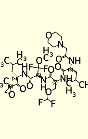 COC(F)(F)[C@@H](NC(=O)[C@H](COC(F)F)NC(=O)[C@H](CC(C)C)NC(=O)CN1CCOCC1)C(=O)N[C@@H](CC(C)C)C(=O)[C@@]1(C)CO1